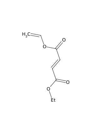 C=COC(=O)C=CC(=O)OCC